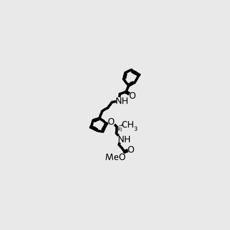 COC(=O)CNC[C@@H](C)Oc1ccccc1CCCNCC(=O)c1ccccc1